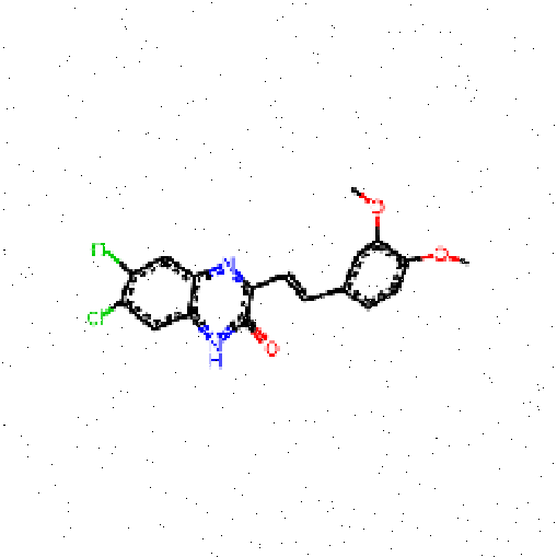 COc1ccc(C=Cc2nc3cc(Cl)c(Cl)cc3[nH]c2=O)cc1OC